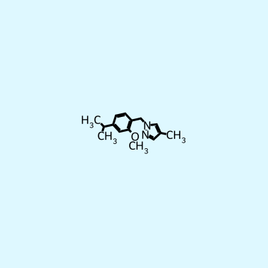 COc1cc(C(C)C)ccc1Cn1cc(C)cn1